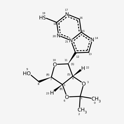 CC1(C)O[C@@H]2[C@H](O1)[C@@H](CO)O[C@H]2c1cnc2cnc(S)nn12